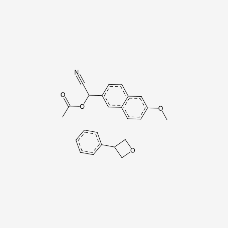 COc1ccc2cc(C(C#N)OC(C)=O)ccc2c1.c1ccc(C2COC2)cc1